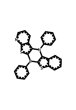 c1ccc(B2c3sc4ccccc4c3N(c3ccccc3)c3c2sc2ncccc32)cc1